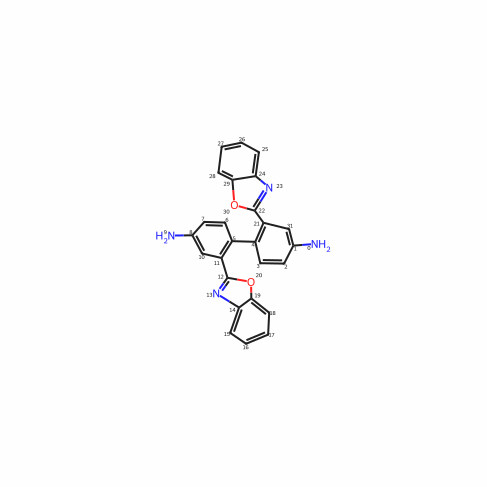 Nc1ccc(-c2ccc(N)cc2-c2nc3ccccc3o2)c(-c2nc3ccccc3o2)c1